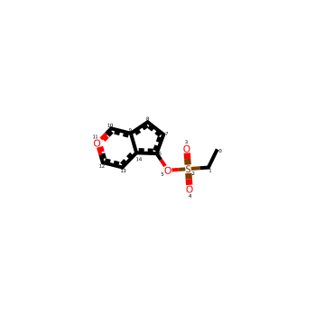 CCS(=O)(=O)Oc1ccc2coccc1-2